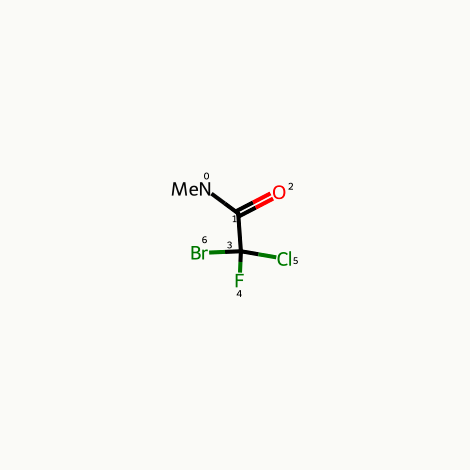 CNC(=O)C(F)(Cl)Br